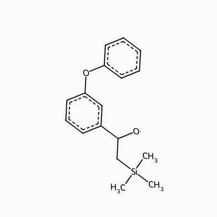 C[Si](C)(C)CC([O])c1cccc(Oc2ccccc2)c1